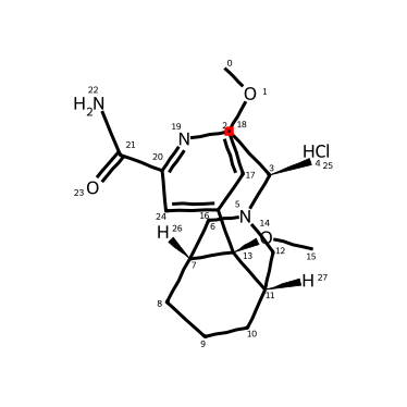 COC[C@@H](C)N1C[C@H]2CCC[C@@H](C1)[C@@]2(OC)c1ccnc(C(N)=O)c1.Cl